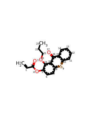 C=CC(=O)Oc1ccc2sc3ccccc3c(=O)c2c1OCCC